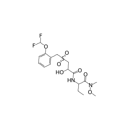 CCC(NC(=O)C(O)CS(=O)(=O)Cc1ccccc1OC(F)F)C(=O)N(C)OC